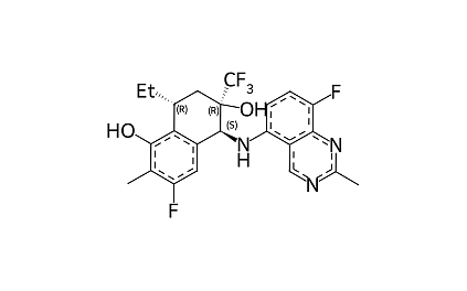 CC[C@@H]1C[C@](O)(C(F)(F)F)[C@@H](Nc2ccc(F)c3nc(C)ncc23)c2cc(F)c(C)c(O)c21